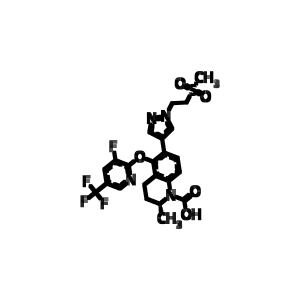 C[C@H]1CCc2c(ccc(-c3cnn(CCS(C)(=O)=O)c3)c2Oc2ncc(C(F)(F)F)cc2F)N1C(=O)O